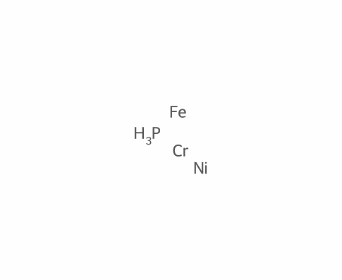 P.[Cr].[Fe].[Ni]